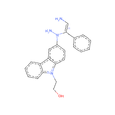 N/C=C(/c1ccccc1)N(N)c1ccc2c(c1)c1ccccc1n2CCO